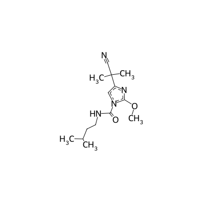 COc1nc(C(C)(C)C#N)cn1C(=O)NCCC(C)C